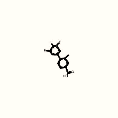 Cc1cc(C(=O)O)ccc1-c1cc(F)c(F)c(F)c1